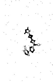 Cc1cc(C)n(C23CC(C4CN(C(=O)N5CC[C@H](c6ncn[nH]6)C5)C4)(C2)C3)n1